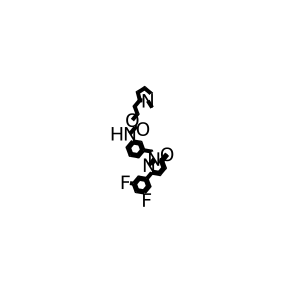 CN1CCCC1CCOC(=O)Nc1cccc(Cn2nc(-c3cc(F)cc(F)c3)ccc2=O)c1